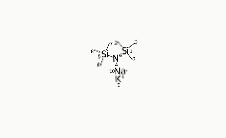 C[Si](C)(C)[N-][Si](C)(C)C.[K+].[Na]